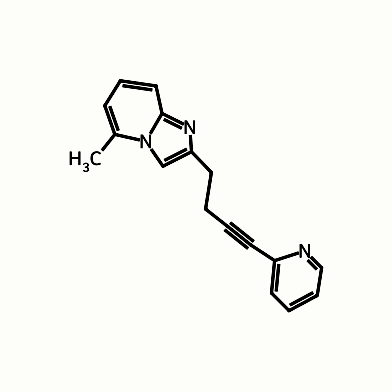 Cc1cccc2nc(CCC#Cc3ccccn3)cn12